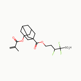 C=C(C)C(=O)OC12CC3CC(C1)CC(C(=O)OCCC(F)C(F)(F)S(=O)(=O)O)(C3)C2